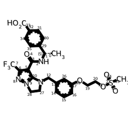 C[C@H](NC(=O)c1c(C(F)(F)F)nn2c1N(Cc1cccc(OCCOS(C)(=O)=O)c1)CC2)c1ccc(C(=O)O)cc1